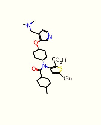 CC1CCC(C(=O)N(c2cc(C(C)(C)C)sc2C(=O)O)[C@H]2CC[C@H](Oc3cnccc3CN(C)C)CC2)CC1